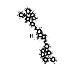 CC1(C)c2cc(C=Cc3ccc4c(c3)C3(CCc5ccccc53)c3cc(N(c5ccccc5)c5ccccc5)ccc3-4)ccc2-c2ccc(C=Cc3ccc4c(c3)C3(CCc5ccccc53)c3cc(N(c5ccccc5)c5ccccc5)ccc3-4)cc21